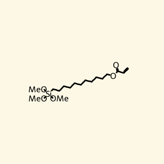 C=CC(=O)OCCCCCCCCCCC[Si](OC)(OC)OC